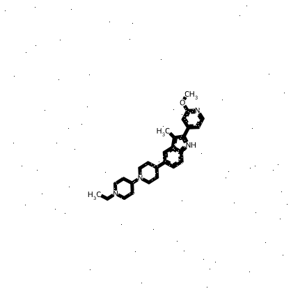 CCN1CCC(N2CCC(c3ccc4[nH]c(-c5ccnc(OC)c5)c(C)c4c3)CC2)CC1